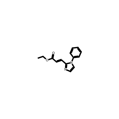 CCOC(=O)/C=C/c1nccn1-c1ccccc1